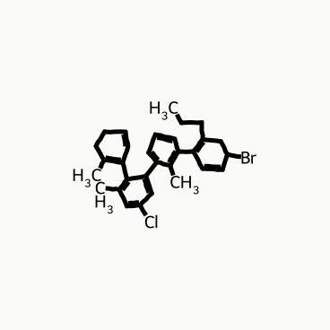 CCCC1=C(c2cccc(-c3cc(Cl)cc(C)c3C3=C(C)CCC=C3)c2C)C=CC(Br)C1